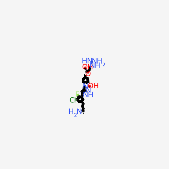 C[C@H](N)CCCc1cc(Cl)c(F)c(-c2cc3c([nH]2)=NC(O)N(c2ccc(CO[C@@H](CO)CCNC(=N)N)cc2)C=3)c1